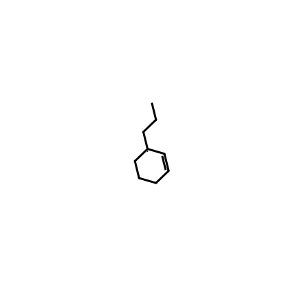 CCC[C]1C=CCCC1